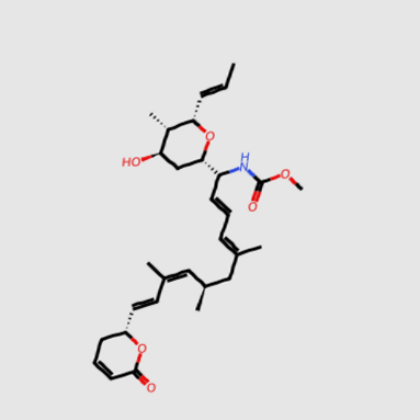 C/C=C/[C@@H]1O[C@H](C(/C=C/C=C(\C)C[C@@H](C)/C=C(C)\C=C\[C@H]2CC=CC(=O)O2)NC(=O)OC)C[C@@H](O)[C@@H]1C